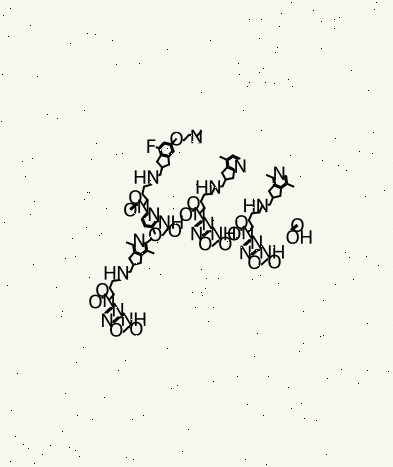 CN(C)CCOc1cc(F)c2c(c1)CC(CNCCC1CN(c3ccc4c(n3)NC(=O)CO4)C(=O)O1)C2.Cc1ccnc2c1CC(CNCCC1CN(c3cnc4c(n3)NC(=O)CO4)C(=O)O1)C2.Cc1cnc(C)c2c1CC(CNCCC1CN(c3cnc4c(n3)NC(=O)CO4)C(=O)O1)C2.Cc1nc(C)c2c(c1C)CC(CNCCC1CN(c3cnc4c(n3)NC(=O)CO4)C(=O)O1)C2.O=CO